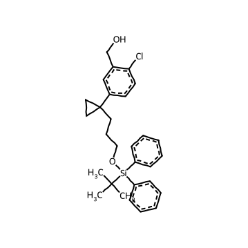 CC(C)(C)[Si](OCCCC1(c2ccc(Cl)c(CO)c2)CC1)(c1ccccc1)c1ccccc1